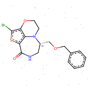 O=C1NC[C@@H](COCc2ccccc2)N2CCOc3c(Br)sc1c32